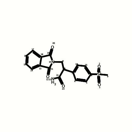 CS(=O)(=O)c1ccc(C(CN2C(=O)c3ccccc3C2=O)C(N)=O)cc1